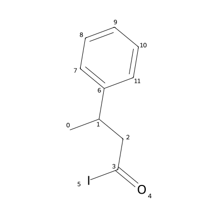 CC(CC(=O)I)c1ccccc1